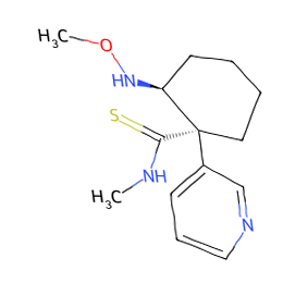 CNC(=S)[C@@]1(c2cccnc2)CCCC[C@@H]1NOC